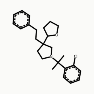 CC(C)(c1ccccc1Cl)N1CCC(CCc2ccccc2)(C2CCCO2)C1